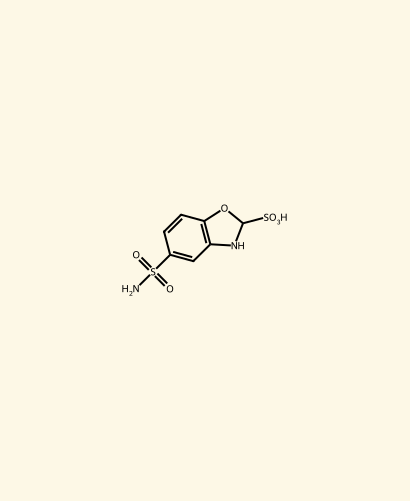 NS(=O)(=O)c1ccc2c(c1)NC(S(=O)(=O)O)O2